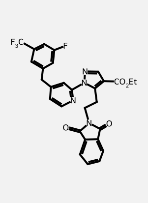 CCOC(=O)c1cnn(-c2cc(Cc3cc(F)cc(C(F)(F)F)c3)ccn2)c1CCN1C(=O)c2ccccc2C1=O